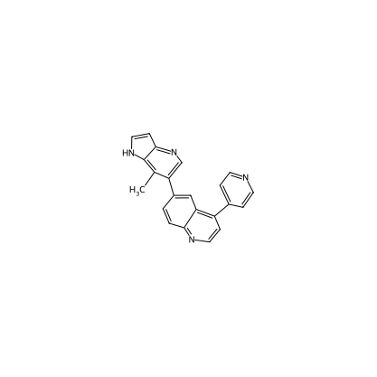 Cc1c(-c2ccc3nccc(-c4ccncc4)c3c2)cnc2cc[nH]c12